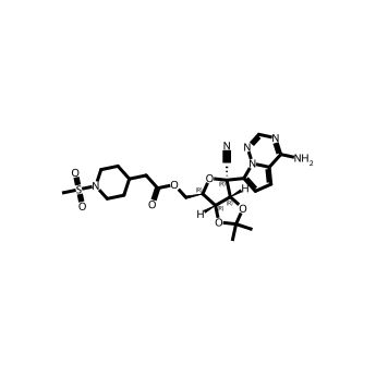 CC1(C)O[C@H]2[C@@H](O1)[C@](C#N)(c1ccc3c(N)ncnn13)O[C@@H]2COC(=O)CC1CCN(S(C)(=O)=O)CC1